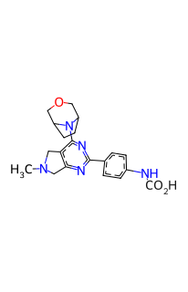 CN1Cc2nc(-c3ccc(NC(=O)O)cc3)nc(N3C4CCC3COC4)c2C1